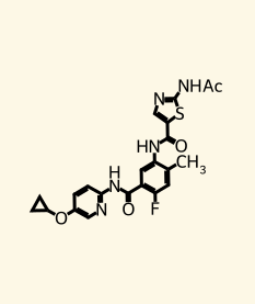 CC(=O)Nc1ncc(C(=O)Nc2cc(C(=O)Nc3ccc(OC4CC4)cn3)c(F)cc2C)s1